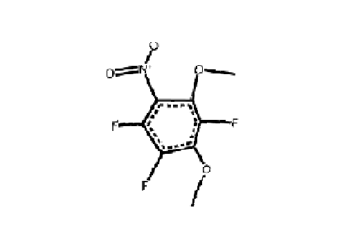 COc1c(F)c(F)c([N+](=O)[O-])c(OC)c1F